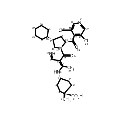 C[C@]1(C(=O)O)CC[C@H](N/C(=C(\C=N)C(=O)N2C[C@H](C3CCCCC3)C[C@H]2C(=O)c2c(Cl)cncc2Cl)C(F)(F)F)CC1